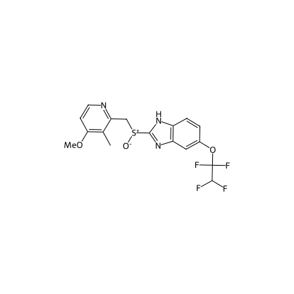 COc1ccnc(C[S+]([O-])c2nc3cc(OC(F)(F)C(F)F)ccc3[nH]2)c1C